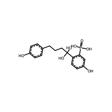 O=P(O)(O)c1cc(O)ccc1C(O)(O)CCCc1ccc(O)cc1